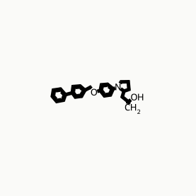 C=C(O)CC1CCCN1c1ccc(OCc2ccc(-c3ccccc3)cc2)cc1